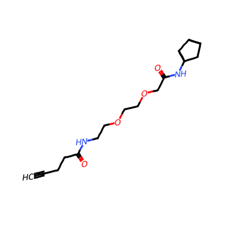 C#CCCC(=O)NCCOCCOCC(=O)NC1CCCC1